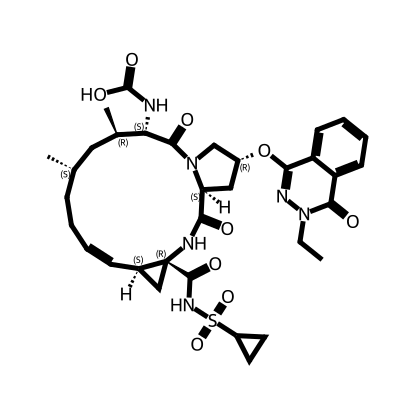 CCn1nc(O[C@@H]2C[C@H]3C(=O)N[C@]4(C(=O)NS(=O)(=O)C5CC5)C[C@H]4C=CCC[C@H](C)C[C@@H](C)[C@H](NC(=O)O)C(=O)N3C2)c2ccccc2c1=O